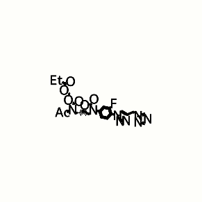 CCC(=O)OCOC(=O)N(C[C@H]1CN(c2ccc(-n3cc(Cn4cncn4)nn3)c(F)c2)C(=O)O1)C(C)=O